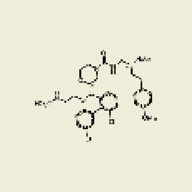 CCc1cccc(-c2c(Cl)cccc2C(OCCNC(=O)O)[C@H]2CN(C(=O)NC[C@@H](CCc3ccc(OC)cc3)NC)CCO2)c1